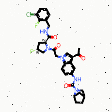 CC(=O)c1cn(CC(=O)N2C[C@H](F)C[C@H]2C(=O)NCc2cccc(Cl)c2F)c2ccc(NC(=O)N3CC4CCC3C4)cc12